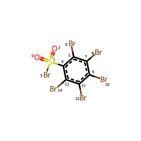 O=S(=O)(Br)c1c(Br)c(Br)c(Br)c(Br)c1Br